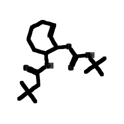 CC(C)(C)CC(=O)NC1CCCC/C=C/C1OC(=O)NC(C)(C)C